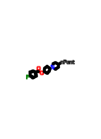 CCCCCC1CCN([C@H]2CC[C@H](OC(=O)c3ccc(F)cc3)CC2)CC1